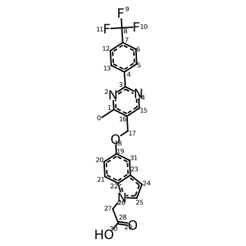 Cc1nc(-c2ccc(C(F)(F)F)cc2)ncc1COc1ccc2c(ccn2CC(=O)O)c1